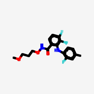 COCCCONC(=O)c1ccc(F)c(F)c1Nc1ccc(C)cc1F